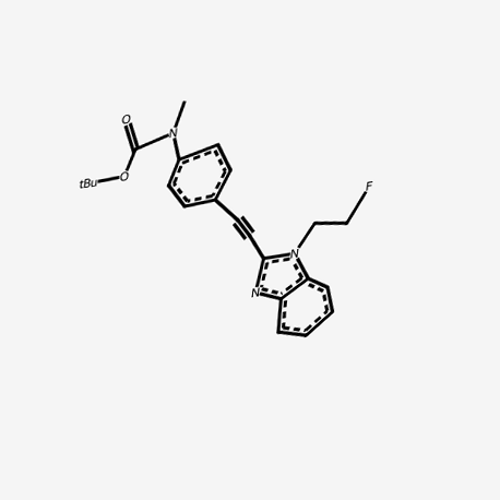 CN(C(=O)OC(C)(C)C)c1ccc(C#Cc2nc3ccccc3n2CCF)cc1